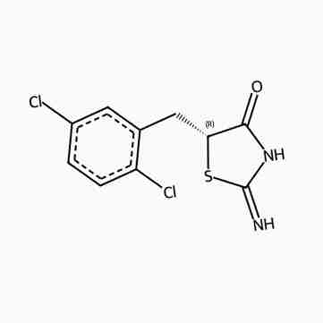 N=C1NC(=O)[C@@H](Cc2cc(Cl)ccc2Cl)S1